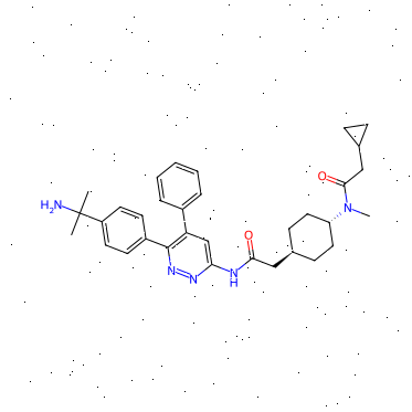 CN(C(=O)CC1CC1)[C@H]1CC[C@H](CC(=O)Nc2cc(-c3ccccc3)c(-c3ccc(C(C)(C)N)cc3)nn2)CC1